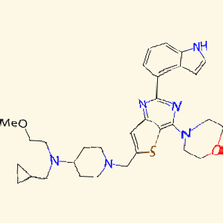 COCCN(CC1CC1)C1CCN(Cc2cc3nc(-c4cccc5[nH]ccc45)nc(N4CCOCC4)c3s2)CC1